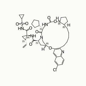 C=C[C@@H]1C[C@]1(NC(=O)[C@@H]1C[C@@H]2CN1C(=O)[C@H](C1CCCC1)NC(=O)O[C@@H]1CCC[C@H]1CCCCCc1nc3ccc(Cl)cc3cc1O2)C(=O)NS(=O)(=O)C1CC1